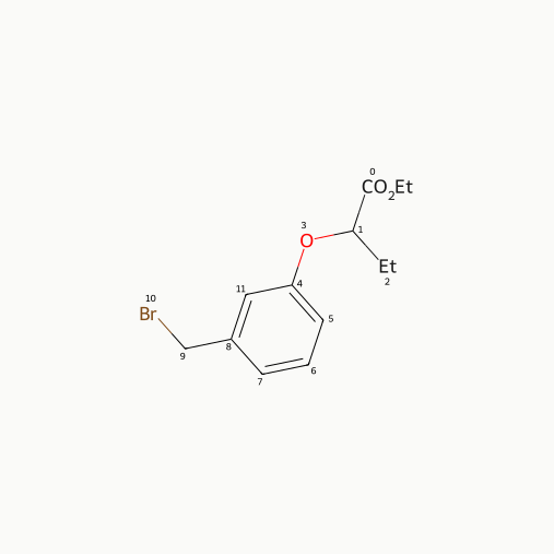 CCOC(=O)C(CC)Oc1cccc(CBr)c1